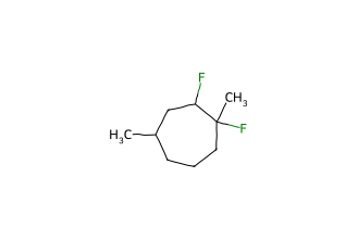 CC1CCCC(C)(F)C(F)C1